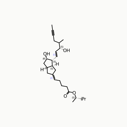 CC#CCC(C)[C@H](O)/C=C/[C@@H]1[C@H]2C/C(=C\CCCC(=O)O[C@@H](C)C(C)C)C[C@H]2C[C@H]1O